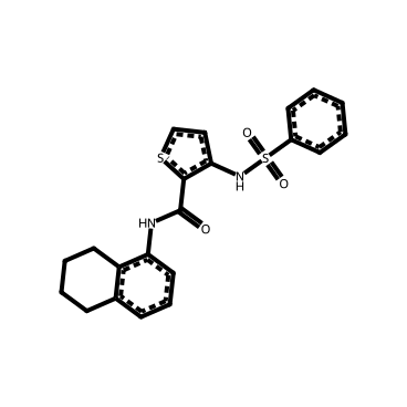 O=C(Nc1cccc2c1CCCC2)c1sccc1NS(=O)(=O)c1ccccc1